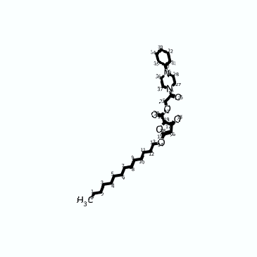 CCCCCCCCCCCCCCOC1=CC(=O)C(C(=O)OCC(=O)N2CCN(C3CCCCC3)CC2)O1